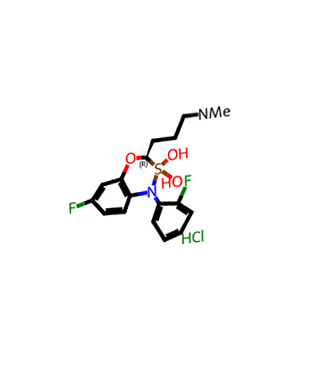 CNCCC[C@@H]1Oc2cc(F)ccc2N(c2ccccc2F)S1(O)O.Cl